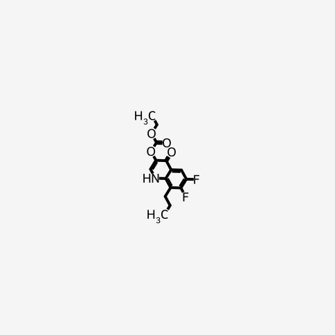 CCCc1c(F)c(F)cc2c(=O)c(OC(=O)OCC)c[nH]c12